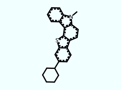 Cn1c2ccccc2c2c3sc4cc(C5CCCCC5)ccc4c3ccc21